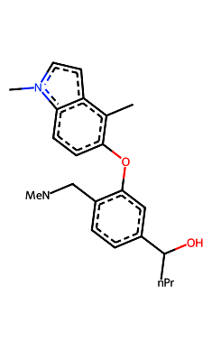 CCCC(O)c1ccc(CNC)c(Oc2ccc3c(ccn3C)c2C)c1